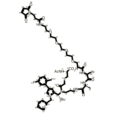 CC(=O)N[C@@H](CSCC(=O)N(CCCNC(=O)[C@H](C)NC(=O)C(NC(=O)CCOCCOCCOCCOCCNC(=O)CCN1C(=O)C=CC1=O)C(C)C)[C@@H](c1cc(-c2cc(F)ccc2F)cn1Cc1ccccc1)C(C)(C)C)C(=O)O